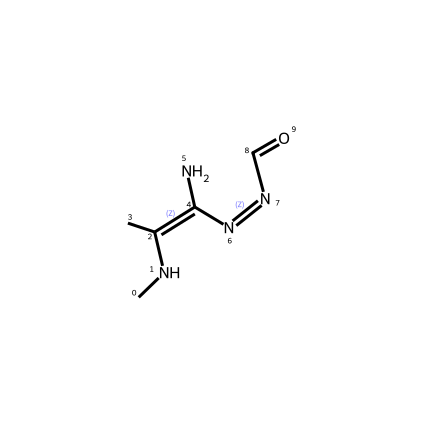 CN/C(C)=C(N)\N=N/C=O